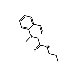 CCCNC(=O)CN(C)c1ccccc1C=O